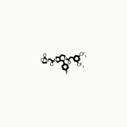 O=C(CN1CCOC1=O)N1CC2CCN(C(=O)Cc3cc(C(F)(F)F)cc(C(F)(F)F)c3)C(c3ccc(F)cc3)C2C1